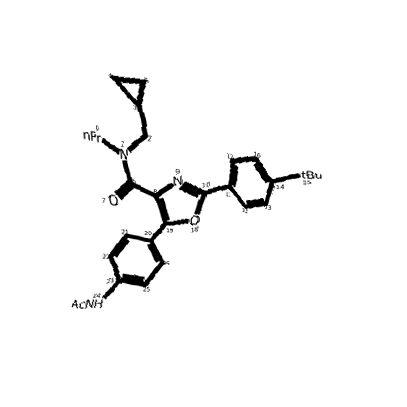 CCCN(CC1CC1)C(=O)c1nc(-c2ccc(C(C)(C)C)cc2)oc1-c1ccc(NC(C)=O)cc1